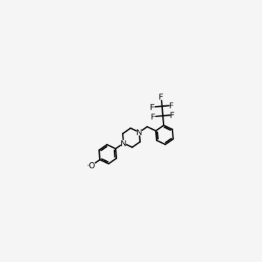 [O]c1ccc(N2CCN(Cc3ccccc3C(F)(F)C(F)(F)F)CC2)cc1